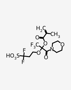 C=C(C)C(=O)OC(OCCC(F)(F)S(=O)(=O)O)(C(=O)N1CCOCC1)C(F)(F)F